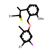 CCC(=S)C(C)c1cccc(SC)c1COc1cc(I)c(CC)cc1C